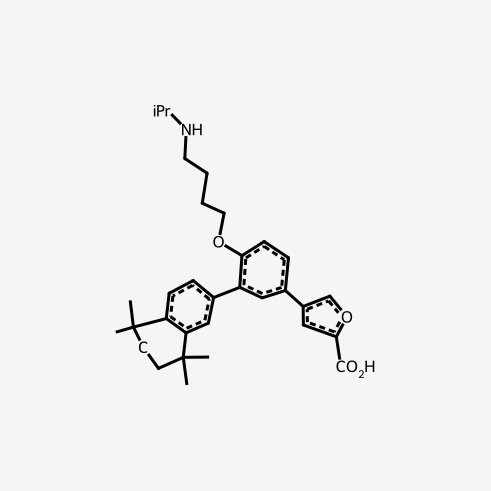 CC(C)NCCCCOc1ccc(-c2coc(C(=O)O)c2)cc1-c1ccc2c(c1)C(C)(C)CCC2(C)C